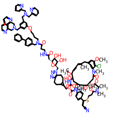 COc1cc2cc(c1Cl)N(C)C(=O)C[C@H](OC(=O)[C@H](C)N(C)C(=O)CCS/C(=C\C#N)c1ccc(NC(=O)OCC3C4CCc5nnn(C[C@H]6O[C@H](CC(=O)NCCC(=O)N(CCCCOc7cc(CN(Cc8ccccn8)Cc8ccccn8)cc(CN(Cc8ccccn8)Cc8ccccn8)c7)Cc7ccc(-c8ccccc8)cc7)[C@H](O)[C@@H]6O)c5CCC43)cc1)[C@]1(C)O[C@H]1C(C)[C@@H]1C[C@@](O)(NC(=O)O1)[C@H](OC)/C=C/C=C(\C)C2